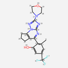 Cc1cc(C(F)(F)F)cc(O)c1-c1nc2nc(N3CCOCC3)nn2c2c1CCC2